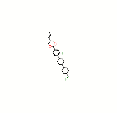 C/C=C/C1COC(c2ccc(C3CCC(C4CCC(CF)CC4)CC3)c(F)c2)OC1